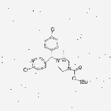 C[C@@H]1CN(C(=O)OC(C)(C)C)CCN1C(c1ccc(Cl)cc1)c1ccc(Cl)cc1